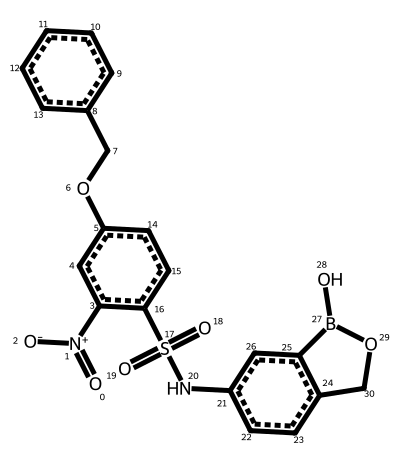 O=[N+]([O-])c1cc(OCc2ccccc2)ccc1S(=O)(=O)Nc1ccc2c(c1)B(O)OC2